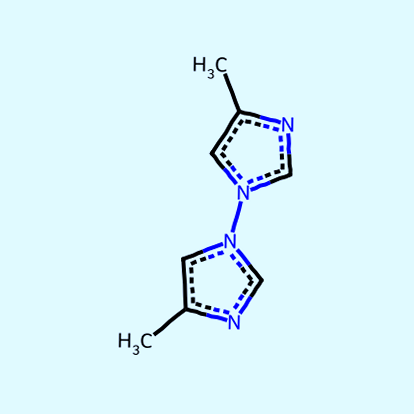 Cc1cn(-n2cnc(C)c2)cn1